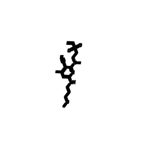 C=CS(=O)(=O)CCN(C)c1nc(NCCCOC)cc(C)c1C#N